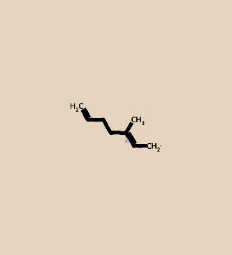 [CH2]/C=C(\C)CCC=C